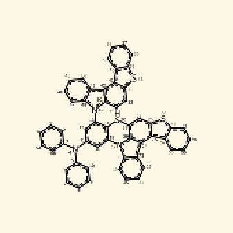 c1ccc(N(c2ccccc2)c2cc3c4c(c2)-n2c5ccccc5c5c6c(cc(c52)[SH]4c2cc4sc5ccccc5c4c4c5ccccc5n-3c24)sc2ccccc26)cc1